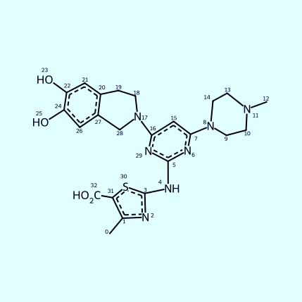 Cc1nc(Nc2nc(N3CCN(C)CC3)cc(N3CCc4cc(O)c(O)cc4C3)n2)sc1C(=O)O